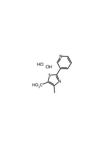 Cc1nc(-c2cccnc2)sc1C(=O)O.Cl.Cl